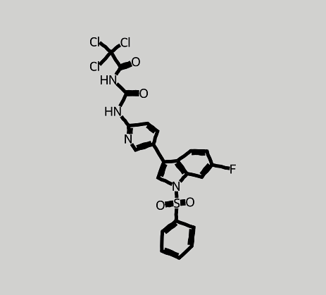 O=C(NC(=O)C(Cl)(Cl)Cl)Nc1ccc(-c2cn(S(=O)(=O)c3ccccc3)c3cc(F)ccc23)cn1